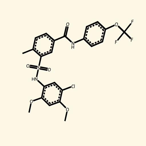 COc1cc(OC)c(NS(=O)(=O)c2cc(C(=O)Nc3ccc(OC(F)(F)F)cc3)ccc2C)cc1Cl